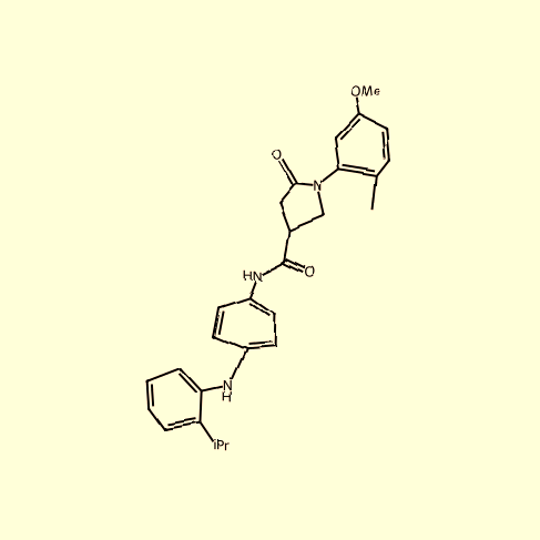 COc1ccc(C)c(N2CC(C(=O)Nc3ccc(Nc4ccccc4C(C)C)cc3)CC2=O)c1